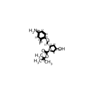 CC(C)(C)OC(=O)N1C[C@H](O)C[C@H]1COc1ccc(N)cc1F